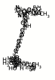 COc1cccc(F)c1-c1nccc(C(=O)Nc2ccc(-c3cnccc3C#N)cc2N2CCN(CC(=O)NCCOCCOCCOCCOCCOCCC(=O)N[C@H](C(=O)N3C[C@H](O)C[C@H]3C(=O)NCc3ccc(-c4scnc4C)cc3)C(C)(C)C)CC2)n1